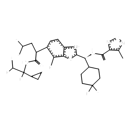 Cc1nonc1C(=O)N[C@H](c1nc2c(F)c(C(CC(F)F)C(=O)NC(F)(C(F)F)C3CC3)ccc2[nH]1)C1CCC(F)(F)CC1